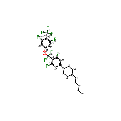 CCCCCC1CCC(c2cc(F)c(C(F)(F)Oc3cc(F)c(C(F)(F)F)c(F)c3)c(F)c2)CC1